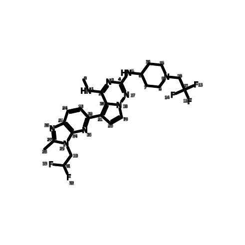 CNc1nc(NC2CCN(CC(F)(F)F)CC2)nn2ccc(-c3ccc4nc(C)n(CC(F)F)c4n3)c12